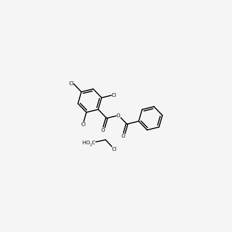 O=C(O)CCl.O=C(OC(=O)c1c(Cl)cc(Cl)cc1Cl)c1ccccc1